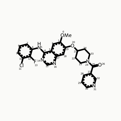 COc1cc2c(Nc3cccc(Cl)c3F)ncnc2cc1OC1CCN(C(=O)c2cccnc2)CC1